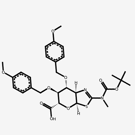 COc1ccc(CO[C@@H]2[C@H]3N=C(N(C)C(=O)OC(C)(C)C)S[C@H]3O[C@H](C(=O)O)[C@H]2OCc2ccc(OC)cc2)cc1